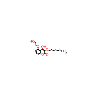 CCCCCCCOc1c(O)c2c(OCCO)cccc2oc1=O